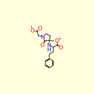 COC(=O)CN1CCC(C)(NC(CCc2ccccc2)C(=O)OC)C1=O